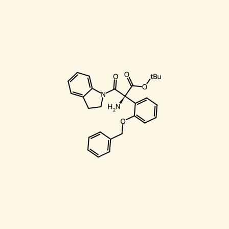 CC(C)(C)OC(=O)[C@@](N)(C(=O)N1CCc2ccccc21)c1ccccc1OCc1ccccc1